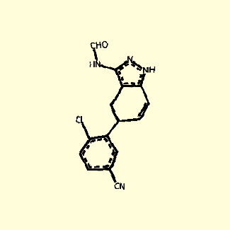 N#Cc1ccc(Cl)c(C2C=Cc3[nH]nc(NC=O)c3C2)c1